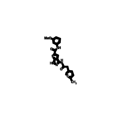 COc1cccc(NC(=O)c2cc3c(NC(=O)Cc4ccc(C)cc4)n[nH]c3s2)c1